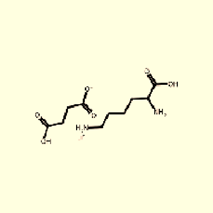 NCCCCC(N)C(=O)O.O=C([O-])CCC(=O)O.[Li+]